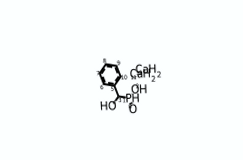 O=[PH](O)C(O)c1ccccc1.[CaH2].[CaH2]